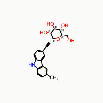 Cc1ccc2[nH]c3ccc(C#C[C@H]4O[C@H](CO)[C@@H](O)[C@H](O)[C@@H]4O)cc3c2c1